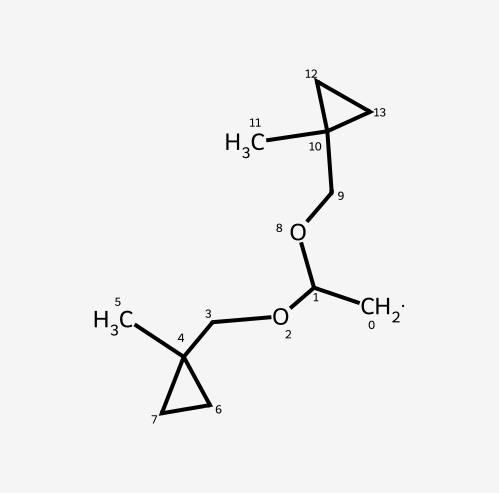 [CH2]C(OCC1(C)CC1)OCC1(C)CC1